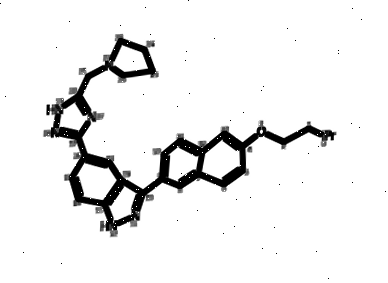 CC(C)CCOc1ccc2cc(-c3n[nH]c4ccc(-c5n[nH]c(CN6CCCC6)n5)cc34)ccc2c1